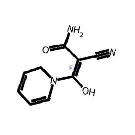 N#C/C(C(N)=O)=C(\O)N1C=CC=CC1